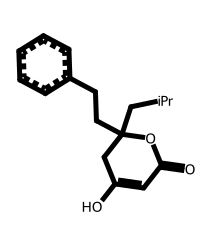 CC(C)CC1(CCc2ccccc2)CC(O)=CC(=O)O1